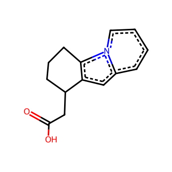 O=C(O)CC1CCCc2c1cc1ccccn21